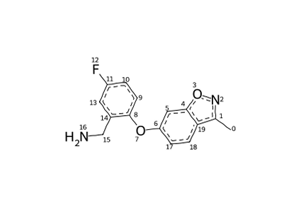 Cc1noc2cc(Oc3ccc(F)cc3CN)ccc12